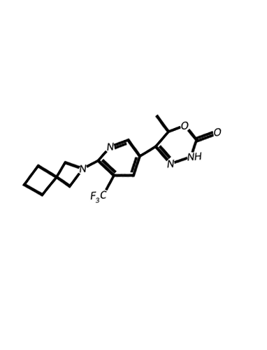 CC1OC(=O)NN=C1c1cnc(N2CC3(CCC3)C2)c(C(F)(F)F)c1